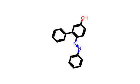 Oc1ccc(N=Nc2ccccc2)c(-c2ccccc2)c1